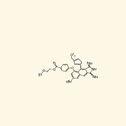 CCCCc1cc(Oc2ccc(C(=O)OCCOCC)cc2)c2c(C3=CC(CC(F)(F)F)=CC3)c3c(cc2c1)C(=N)NC3=N